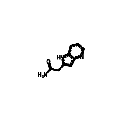 NC(=O)Cc1cc2ncccc2[nH]1